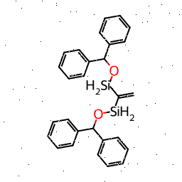 C=C([SiH2]OC(c1ccccc1)c1ccccc1)[SiH2]OC(c1ccccc1)c1ccccc1